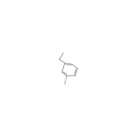 CCc1cccc(I)c1